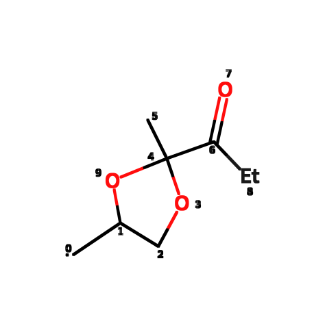 [CH2]C1COC(C)(C(=O)CC)O1